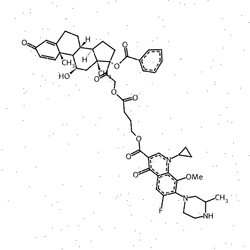 COc1c(N2CCNC(C)C2)c(F)cc2c(=O)c(C(=O)OCCCC(=O)OCC(=O)[C@]3(OC(=O)c4ccccc4)CC[C@@H]4[C@H]5CCC6=CC(=O)C=C[C@@]6(C)C5[C@H](O)C[C@]43C)cn(C3CC3)c12